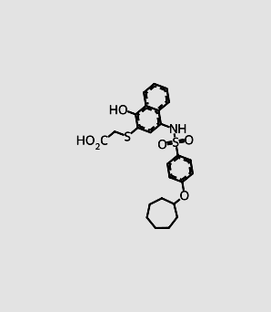 O=C(O)CSc1cc(NS(=O)(=O)c2ccc(OC3CCCCCC3)cc2)c2ccccc2c1O